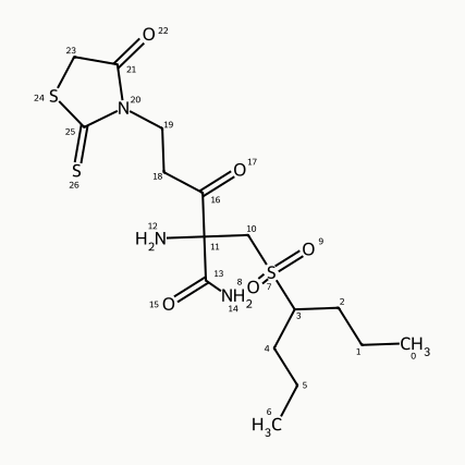 CCCC(CCC)S(=O)(=O)CC(N)(C(N)=O)C(=O)CCN1C(=O)CSC1=S